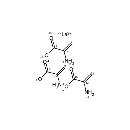 C=C(N)C(=O)[O-].C=C(N)C(=O)[O-].C=C(N)C(=O)[O-].[La+3]